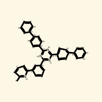 Cc1cccc(-c2cccc(-c3nc(-c4ccc(-c5ccccc5)cc4)nc(-c4ccc(-c5ccccc5)cc4)n3)c2)n1